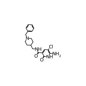 Nc1[nH]c(=O)c(C(=O)NCC2CCN(Cc3ccccc3)CC2)cc1Cl